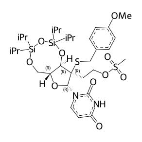 COc1ccc(CS[C@]2(CCOS(C)(=O)=O)[C@@H]3O[Si](C(C)C)(C(C)C)O[Si](C(C)C)(C(C)C)OC[C@H]3O[C@H]2n2ccc(=O)[nH]c2=O)cc1